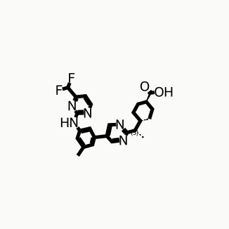 Cc1cc(Nc2nccc(C(F)F)n2)cc(-c2cnc([C@@H](C)[C@H]3CC[C@H](C(=O)O)CC3)nc2)c1